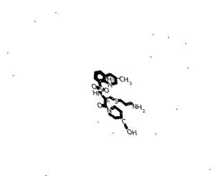 C[C@@H]1CNc2c(cccc2S(=O)(=O)N[C@@H](CSCCCN)C(=O)N2CCC(CCO)CC2)C1